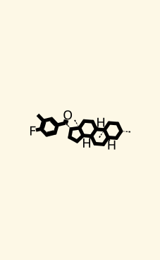 Cc1cc(C(=O)[C@H]2CCC3[C@@H]4CC[C@@H]5C[C@@H](C)CC[C@]5(C)[C@H]4CC[C@@]32C)ccc1F